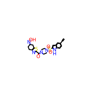 C#Cc1ccc2[nH]c(S(=O)(=O)N3CCN(C(=O)c4nc5c(s4)C/C(=N\O)CC5)CC3)cc2c1